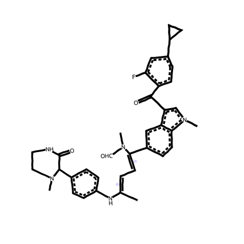 C/C(=C\C=C(\c1ccc2c(c1)c(C(=O)c1ccc(C3CC3)cc1F)cn2C)N(C)C=O)Nc1ccc(C2C(=O)NCCN2C)cc1